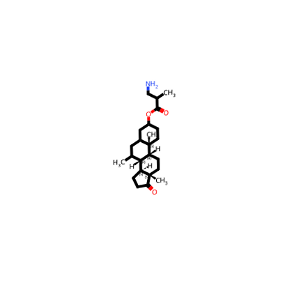 CC(CN)C(=O)OC1CC[C@@]2(C)C(C1)CC(C)[C@@H]1[C@H]2CC[C@]2(C)C(=O)CC[C@@H]12